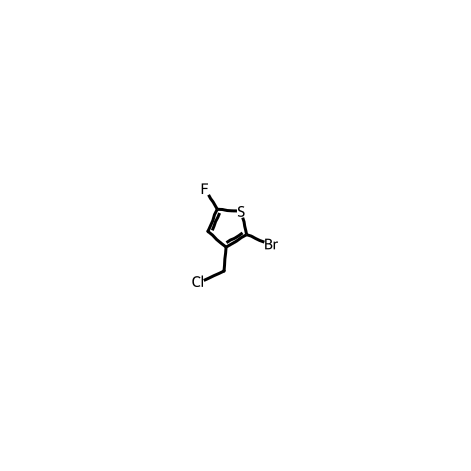 Fc1cc(CCl)c(Br)s1